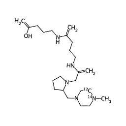 C=C(O)CCCNC(=C)CCCNC(=C)CN1CCCC1CN1CC[14N](C)[12CH2]C1